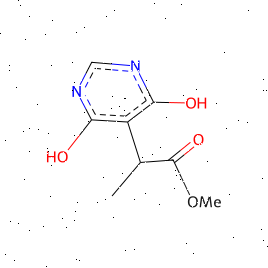 COC(=O)C(C)c1c(O)ncnc1O